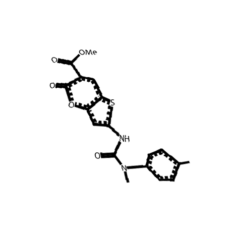 COC(=O)c1cc2sc(NC(=O)N(C)c3ccc(C)cc3)cc2oc1=O